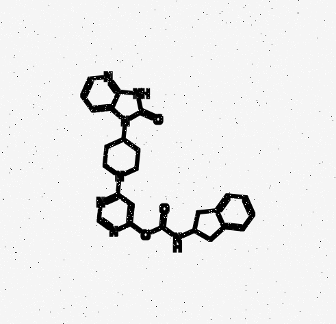 O=C(NC1Cc2ccccc2C1)Oc1cc(N2CCC(n3c(=O)[nH]c4ncccc43)CC2)ncn1